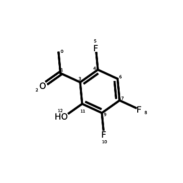 CC(=O)c1c(F)cc(F)c(F)c1O